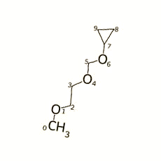 COCCOCOC1CC1